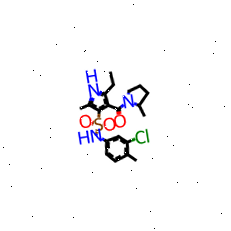 CCc1[nH]c(C)c(S(=O)(=O)Nc2ccc(C)c(Cl)c2)c1C(=O)N1CCCC1C